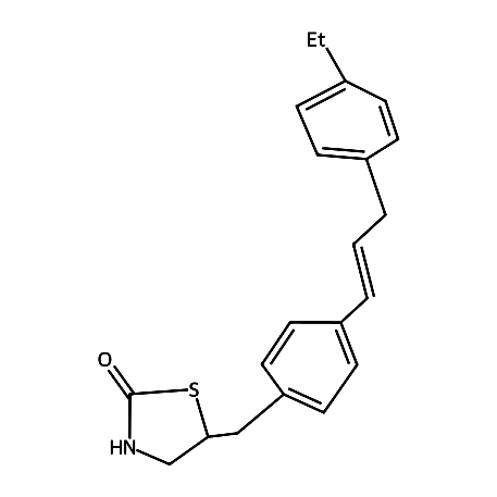 CCc1ccc(C/C=C/c2ccc(CC3CNC(=O)S3)cc2)cc1